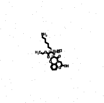 CCOC(=O)[C@H](CCCCCCN)N[C@H]1COc2ccccc2N(CC(=O)O)C1=O.Cl.Cl